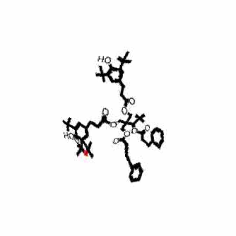 CC(C)(C)C1=CC(CCC(=O)OCC(COC(=O)CCc2ccccc2)(COC(=O)CCc2cc(C(C)(C)C)c(O)c(C(C)(C)C)c2)C(OC(=O)CCc2ccccc2)C(C)(C)C)=CC(C(C)(C)C)(C(C)(C)C)C1(O)O